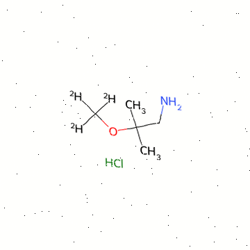 Cl.[2H]C([2H])([2H])OC(C)(C)CN